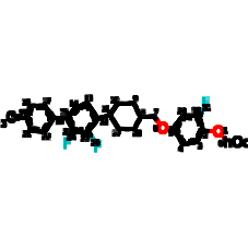 CCCCCCCCOc1ccc(OCC2CCC(c3ccc(-c4ccc(C)cc4)c(F)c3F)CC2)cc1F